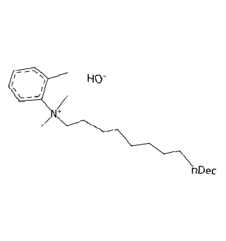 CCCCCCCCCCCCCCCCCC[N+](C)(C)c1ccccc1C.[OH-]